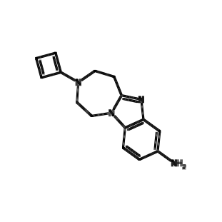 Nc1ccc2c(c1)nc1n2CCN(C2=CC=C2)CC1